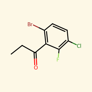 CCC(=O)c1c(Br)ccc(Cl)c1F